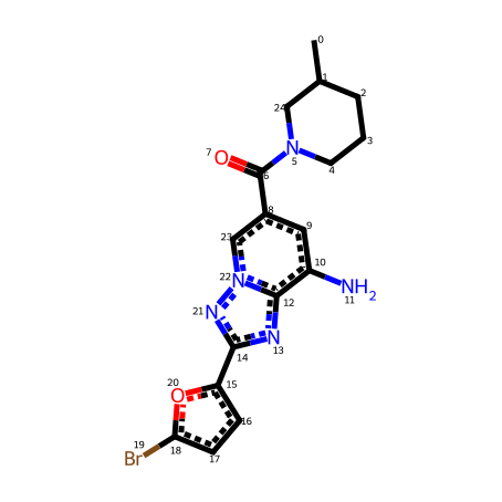 CC1CCCN(C(=O)c2cc(N)c3nc(-c4ccc(Br)o4)nn3c2)C1